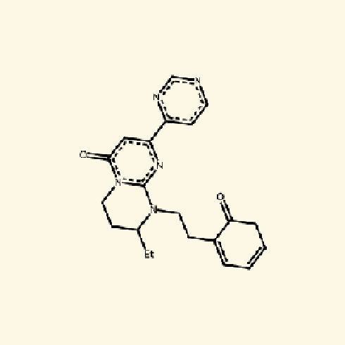 CCC1CCn2c(nc(-c3ccncn3)cc2=O)N1CCC1=CC=CCC1=O